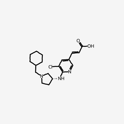 O=C(O)C=Cc1cnc(N[C@@H]2CCN(CC3CCCCC3)C2)c(Cl)c1